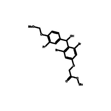 COCOc1ccc(C(O)c2c(Br)cc(OCC(=O)OC(C)(C)C)cc2Br)cc1C(C)C